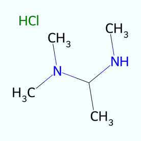 CNC(C)N(C)C.Cl